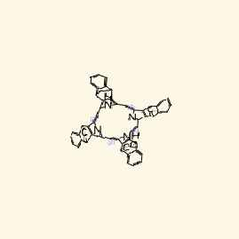 C1=C2N=C(/C=c3\[nH]/c(c4c3C3CCC4c4ccccc43)=C\C3=NC(=C\C4NC/1=C1C5CCC(c6ccccc65)C14)/C1=C3C3CCC1c1ccccc13)C1=C\2C2CCC1c1ccccc12